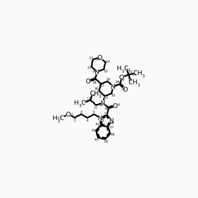 COCCCCn1c(C(=O)N(CC(C)C)[C@H]2CC(C(=O)N3CCOCC3)CN(C(=O)OC(C)(C)C)C2)nc2ccccc21